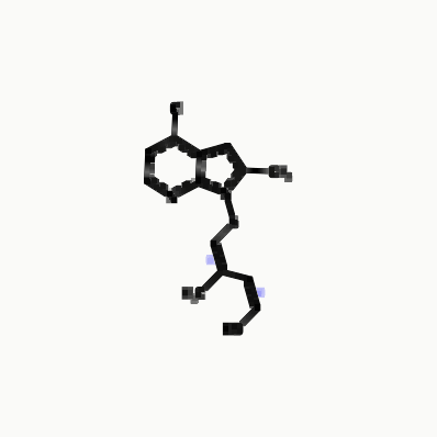 CC(/C=C\O)=C/Sn1c(C)cc2c(Cl)ccnc21